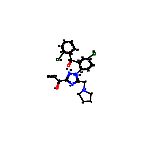 COC(=O)c1nc(CN2CCCC2)n(-c2ccc(Cl)cc2C(=O)c2ccccc2Cl)n1